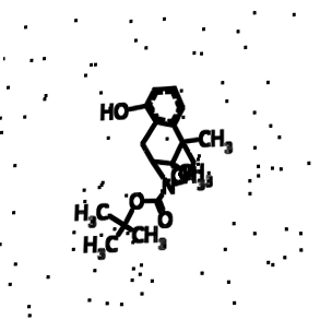 CC(C)(C)OC(=O)N1CCC2(C)c3cccc(O)c3CC1C2(C)C